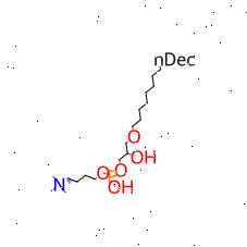 CCCCCCCCCCCCCCCCCCOCC(O)COP(O)OCCCC[N+](C)(C)C